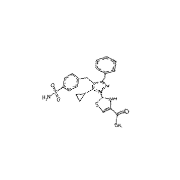 NS(=O)(=O)c1ccc(Cc2c(-c3ccccc3)nn(C3NC(C(=O)O)=CS3)c2C2CC2)cc1